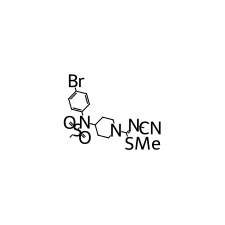 CS/C(=N\C#N)N1CCC(N(c2ccc(Br)cc2)S(C)(=O)=O)CC1